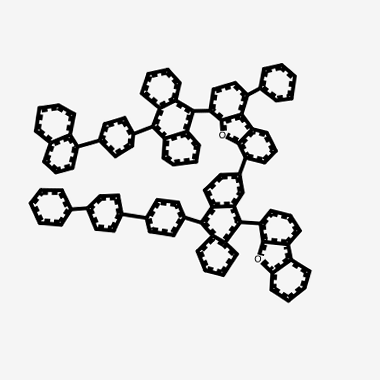 c1ccc(-c2ccc(-c3ccc(-c4c5ccccc5c(-c5cccc6c5oc5ccccc56)c5cc(-c6cccc7c6oc6c(-c8c9ccccc9c(-c9ccc(-c%10cccc%11ccccc%10%11)cc9)c9ccccc89)ccc(-c8ccccc8)c67)ccc45)cc3)cc2)cc1